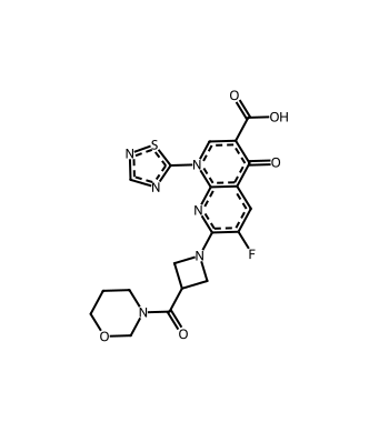 O=C(O)c1cn(-c2ncns2)c2nc(N3CC(C(=O)N4CCCOC4)C3)c(F)cc2c1=O